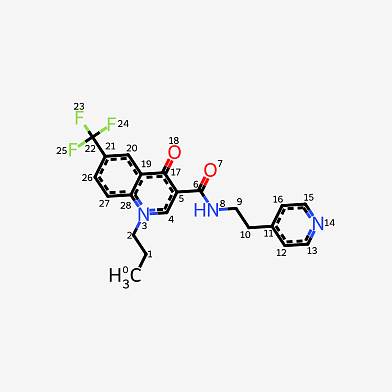 CCCn1cc(C(=O)NCCc2ccncc2)c(=O)c2cc(C(F)(F)F)ccc21